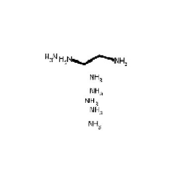 N.N.N.N.N.N.NCCN